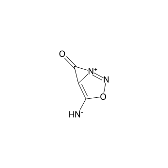 [NH-]c1on[n+]2c(=O)c12